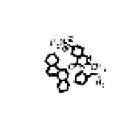 Cc1nc2ccc(S(N)(=O)=O)cc2c(=O)n1-c1ccccc1CN.c1ccc2c(c1)ccc1c3c(ccc12)CCCC3